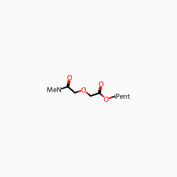 CCCC(C)OC(=O)COCC(=O)NC